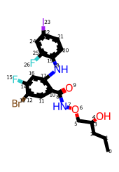 CCCC(O)CONC(=O)c1cc(Br)c(F)cc1Nc1ccc(I)cc1F